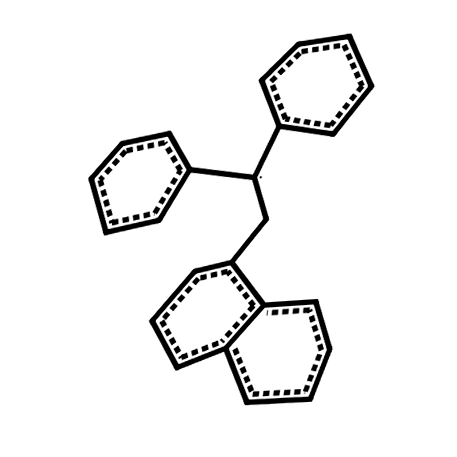 c1ccc([C](Cc2cccc3ccccc23)c2ccccc2)cc1